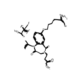 CC(C)N1C(=O)CN(CCC(=O)O)C(=O)c2cc(OCCCCC(=N)N)ccc21.O=C(O)C(F)(F)F